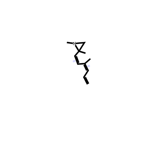 C=C/C=C(C)\C=C/C1(C)CN1C